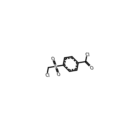 O=C(Cl)c1ccc(S(=O)(=O)CCl)cc1